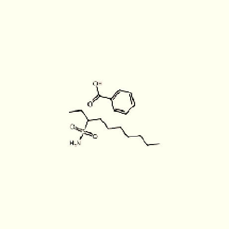 CCCCCCCC(CC)S(N)(=O)=O.O=C(O)c1ccccc1